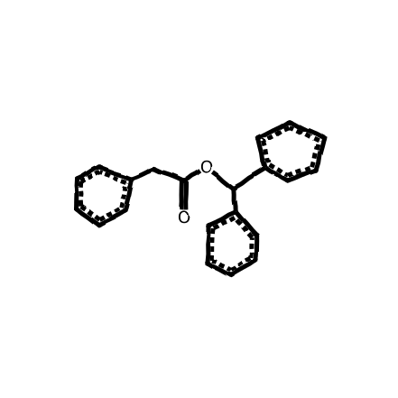 O=C([CH]c1ccccc1)OC(c1ccccc1)c1ccccc1